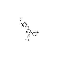 N#CCc1ncc(Cc2cnc(OCC(F)F)c(-c3cccc(Cl)c3)c2)cn1